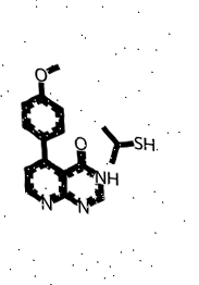 CC(C)S.COc1ccc(-c2ccnc3nc[nH]c(=O)c23)cc1